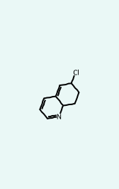 ClC1C=C2C=CC=NC2CC1